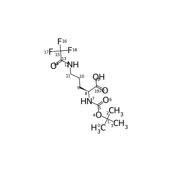 CC(C)(C)OC(=O)N[C@@H](CCCNC(=O)C(F)(F)F)C(=O)O